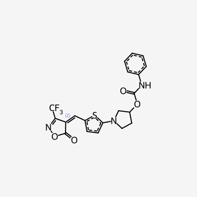 O=C(Nc1ccccc1)OC1CCN(c2ccc(/C=C3\C(=O)ON=C3C(F)(F)F)s2)C1